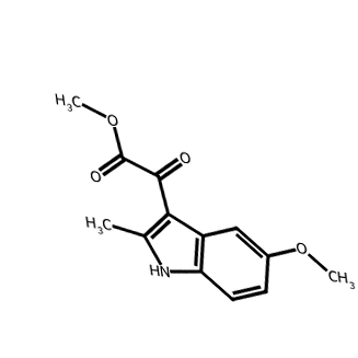 COC(=O)C(=O)c1c(C)[nH]c2ccc(OC)cc12